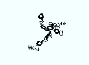 COC(=O)C1(Nc2cccc(Cl)c2)CCC2(CC1)C(C[C@@H](C)COCc1ccc(OC)cc1)=Cc1ccc(OCc3ccccc3)cc12